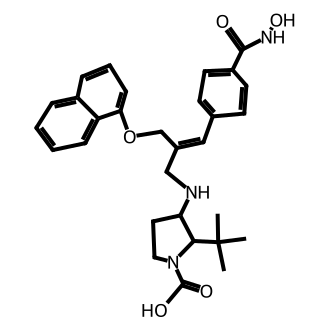 CC(C)(C)C1C(NCC(=Cc2ccc(C(=O)NO)cc2)COc2cccc3ccccc23)CCN1C(=O)O